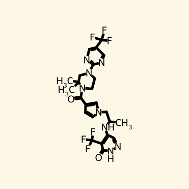 CC(Cn1ccc(C(=O)N2CCN(c3ncc(C(F)(F)F)cn3)CC2(C)C)c1)Nc1cn[nH]c(=O)c1C(F)(F)F